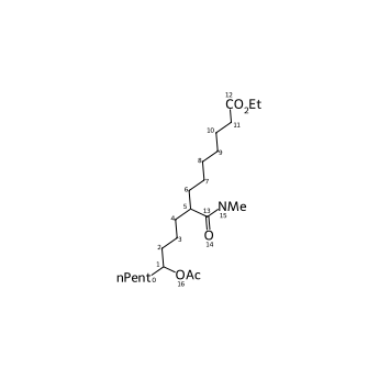 CCCCCC(CCCC(CCCCCCC(=O)OCC)C(=O)NC)OC(C)=O